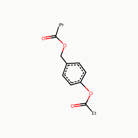 CCC(=O)Oc1ccc(COC(=O)C(C)C)cc1